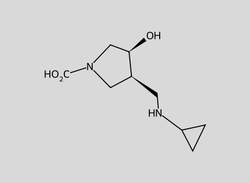 O=C(O)N1C[C@H](CNC2CC2)[C@H](O)C1